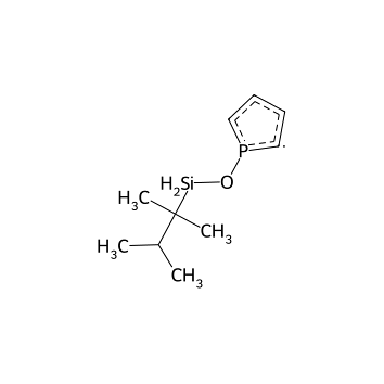 CC(C)C(C)(C)[SiH2]Op1[c]ccc1